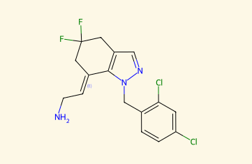 NC/C=C1\CC(F)(F)Cc2cnn(Cc3ccc(Cl)cc3Cl)c21